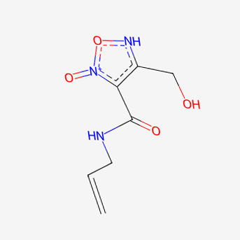 C=CCNC(=O)c1c(CO)[nH]o[n+]1=O